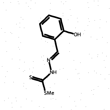 CSC(=S)NN=Cc1ccccc1O